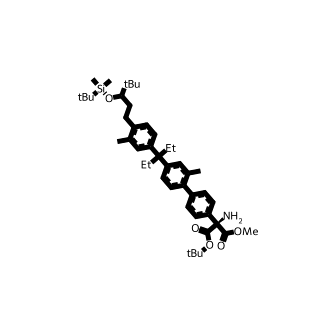 CCC(CC)(c1ccc(CCC(O[Si](C)(C)C(C)(C)C)C(C)(C)C)c(C)c1)c1ccc(-c2ccc([C@](N)(C(=O)OC)C(=O)OC(C)(C)C)cc2)c(C)c1